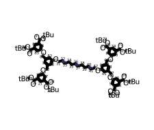 CC(C)(C)OC(=O)c1cc(OCc2cc(COc3cc(C(=O)OC(C)(C)C)cc(C(=O)OC(C)(C)C)c3)cc(OC/C=C/CC/C=C/CC/C=C/COc3cc(COc4cc(C(=O)OC(C)(C)C)cc(C(=O)OC(C)(C)C)c4)cc(COc4cc(C(=O)OC(C)(C)C)cc(C(=O)OC(C)(C)C)c4)c3)c2)cc(C(=O)OC(C)(C)C)c1